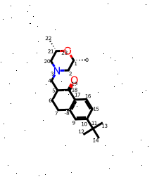 C[C@@H]1CN(CC2CCc3cc(C(C)(C)C)ccc3C2=O)C[C@H](C)O1